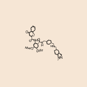 COc1cc(NC(=O)c2cc(=O)c3ccccc3o2)c(C(=O)NCc2ccc(CNCc3ccc4c(cnn4C)c3)cc2)cc1OC